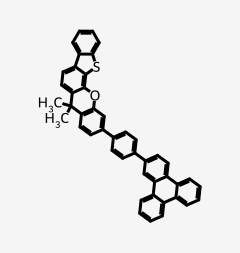 CC1(C)c2ccc(-c3ccc(-c4ccc5c6ccccc6c6ccccc6c5c4)cc3)cc2Oc2c1ccc1c2sc2ccccc21